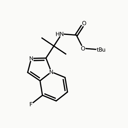 CC(C)(C)OC(=O)NC(C)(C)c1ncc2c(F)cccn12